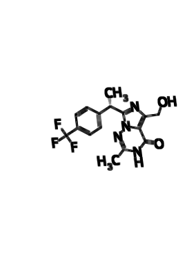 Cc1nn2c([C@@H](C)c3ccc(C(F)(F)F)cc3)nc(CO)c2c(=O)[nH]1